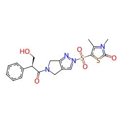 Cc1c(S(=O)(=O)n2cc3c(n2)CN(C(=O)[C@H](CO)c2ccccc2)C3)sc(=O)n1C